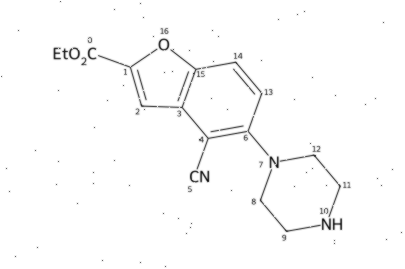 CCOC(=O)c1cc2c(C#N)c(N3CCNCC3)ccc2o1